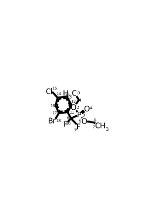 CCOP(=O)(OCC)C(F)(F)c1ccc(Cl)cc1Br